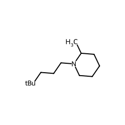 CC1CCCCN1CCCC(C)(C)C